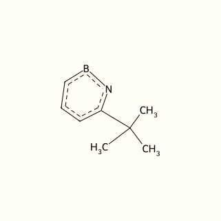 CC(C)(C)c1cccbn1